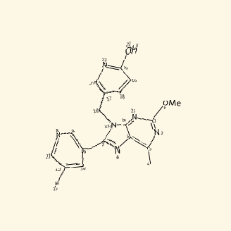 COc1nc(C)c2nc(-c3cncc(F)c3)n(Cc3ccc(O)nc3)c2n1